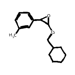 Cc1cccc(C2OC2OCC2CCCCC2)c1